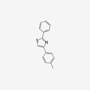 Cc1ccc(-c2csc(-c3ccccc3)n2)cc1